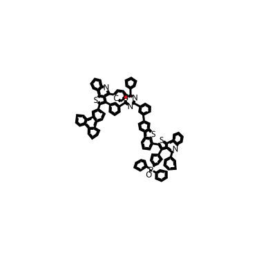 O=P(c1ccccc1)(c1ccccc1)c1ccc(-c2c(-c3cccc4c3sc3cc(-c5cccc(-c6nc(-c7ccccc7)nc(-c7cccc(-c8c(-c9ccc%10c%11ccccc%11c%11ccccc%11c%10c9)sc9c8c(-c8ccccc8)nc8ccccc89)c7)n6)c5)ccc34)sc3c2c(-c2ccccc2)nc2ccccc23)cc1